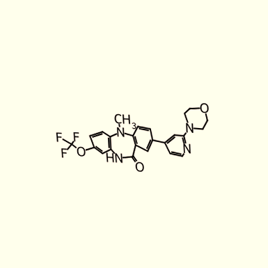 CN1c2ccc(OC(F)(F)F)cc2NC(=O)c2cc(-c3ccnc(N4CCOCC4)c3)ccc21